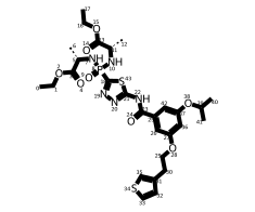 CCOC(=O)[C@H](C)NP(=O)(N[C@@H](C)C(=O)OCC)c1nnc(NC(=O)c2cc(OCCc3ccsc3)cc(OC(C)C)c2)s1